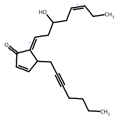 CC/C=C\CC(O)C/C=C1/C(=O)C=CC1CC#CCCCC